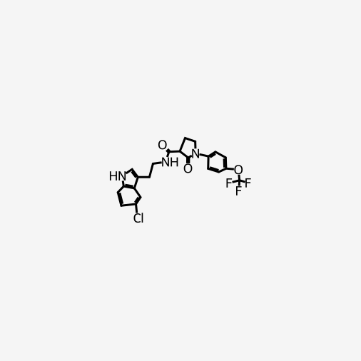 O=C(NCCc1c[nH]c2ccc(Cl)cc12)C1CCN(c2ccc(OC(F)(F)F)cc2)C1=O